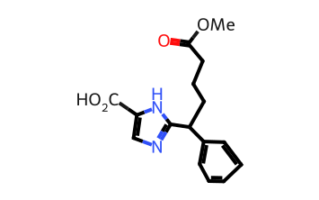 COC(=O)CCCC(c1ccccc1)c1ncc(C(=O)O)[nH]1